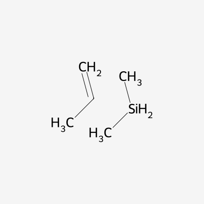 C=CC.C[SiH2]C